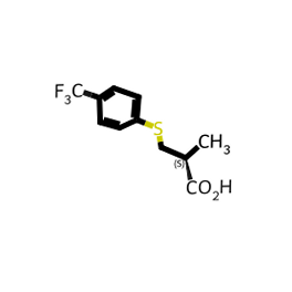 C[C@H](CSc1ccc(C(F)(F)F)cc1)C(=O)O